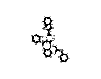 O=C(CN1C(=O)[C@@H](NC(=O)c2cc3ccccc3[nH]2)[C@H](c2ccccc2)Sc2ccccc21)Nc1ccccc1